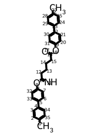 Cc1ccc(-c2ccc(OC(=N)CCCCC(=O)Oc3ccc(-c4ccc(C)cc4)cc3)cc2)cc1